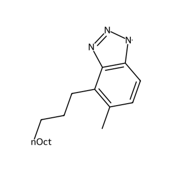 CCCCCCCCCCCc1c(C)ccc2c1N=N[N]2